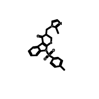 Cc1ccc(S(=O)(=O)n2c3c(c4ccccc42)C(=O)C(Cn2ccnc2C)CS3)cc1